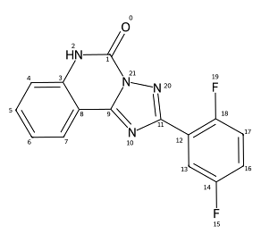 O=c1[nH]c2ccccc2c2nc(-c3cc(F)ccc3F)nn12